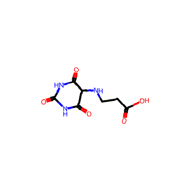 O=C(O)CCNC1C(=O)NC(=O)NC1=O